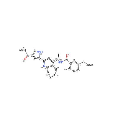 CNCc1ccc(C)c(C(=O)N[C@H](C)c2cc(-c3cc(C(=O)OC)c[nH]3)nc3ccccc23)c1